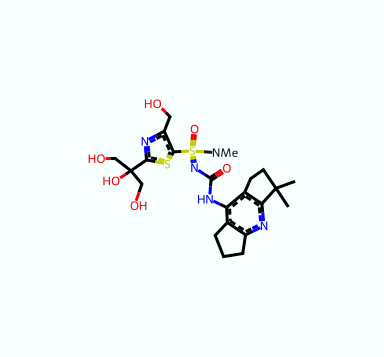 CNS(=O)(=NC(=O)Nc1c2c(nc3c1CCC3(C)C)CCC2)c1sc(C(O)(CO)CO)nc1CO